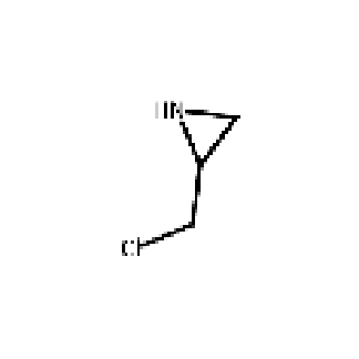 ClCC1CN1